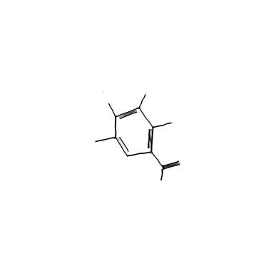 O=C(O)c1cc(F)c(Br)c(F)c1F